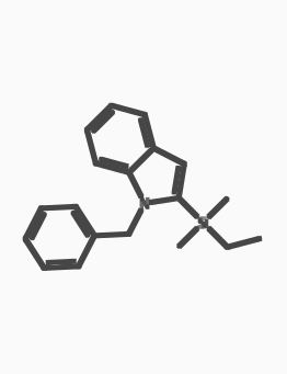 CC[Si](C)(C)c1cc2ccccc2n1Cc1ccccc1